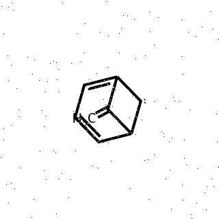 C=C1C2=CC=CC1[C]2